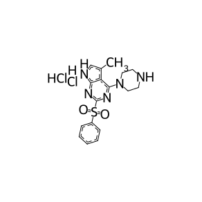 Cc1c[nH]c2nc(S(=O)(=O)c3ccccc3)nc(N3CCNCC3)c12.Cl.Cl